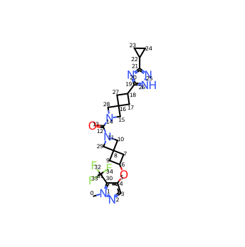 Cn1ncc(OC2CC3(C2)CN(C(=O)N2CC4(CC(c5nc(C6CC6)n[nH]5)C4)C2)C3)c1C(F)(F)F